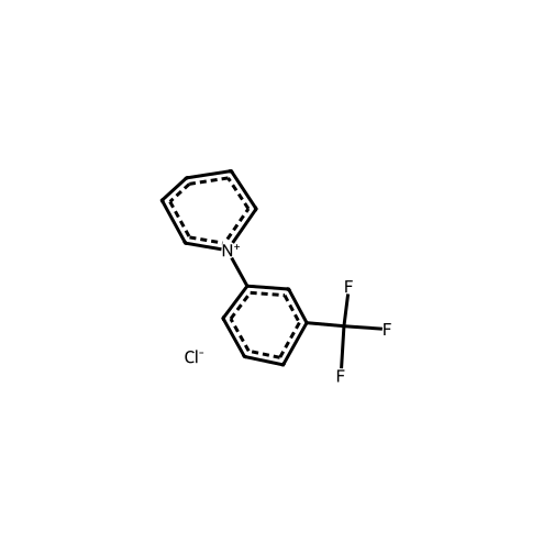 FC(F)(F)c1cccc(-[n+]2ccccc2)c1.[Cl-]